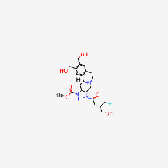 CC(C)(C)OC(=O)N[C@H]1C[C@H]2c3cc(CO)c(CO)cc3CCN2C[C@@H]1NC(=O)C[C@@H](CO)CF